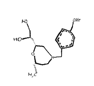 COc1ccc(CN2C[C@@H](C(O)CO)O[C@@H](C)C2)cc1